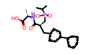 CC(C)P(=O)(O)C[C@@H](Cc1ccc(-c2ccccc2)cc1)C(=O)N[C@@H](C)C(=O)O